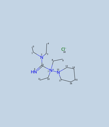 CCN(CC)C(=N)[N+](CC)(CC)N1CCCCC1.[Cl-]